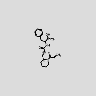 C=CC(=O)N1CCCC[C@H]1CNC(=O)NC(Cc1ccccc1)B(O)O